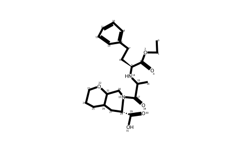 CCOC(=O)[C@H](CCc1ccccc1)NC(C)C(=O)N1CC2OCCCC2C[C@H]1C(=O)O